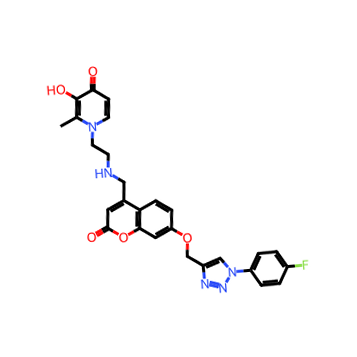 Cc1c(O)c(=O)ccn1CCNCc1cc(=O)oc2cc(OCc3cn(-c4ccc(F)cc4)nn3)ccc12